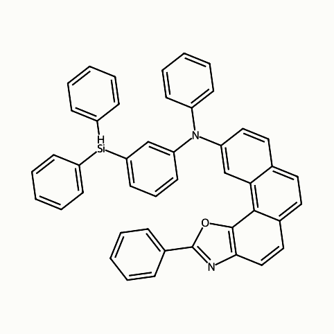 c1ccc(-c2nc3ccc4ccc5ccc(N(c6ccccc6)c6cccc([SiH](c7ccccc7)c7ccccc7)c6)cc5c4c3o2)cc1